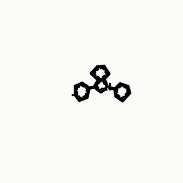 [c]1ccc(-c2cn(-c3ccccc3)c3ccccc23)cc1